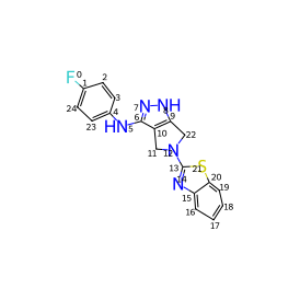 Fc1ccc(Nc2n[nH]c3c2CN(c2nc4ccccc4s2)C3)cc1